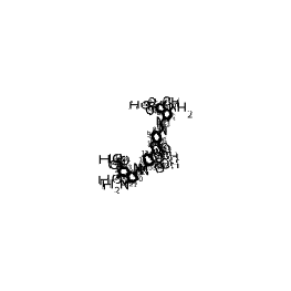 Nc1ccc(N=Nc2ccc(/C=C/c3ccc(N=Nc4ccc(N)c5c(O)cc(S(=O)(=O)O)cc45)cc3S(=O)(=O)O)c(S(=O)(=O)O)c2)c2cc(S(=O)(=O)O)cc(O)c12